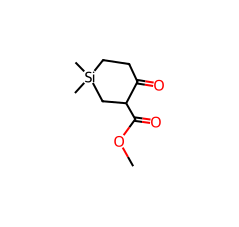 COC(=O)C1C[Si](C)(C)CCC1=O